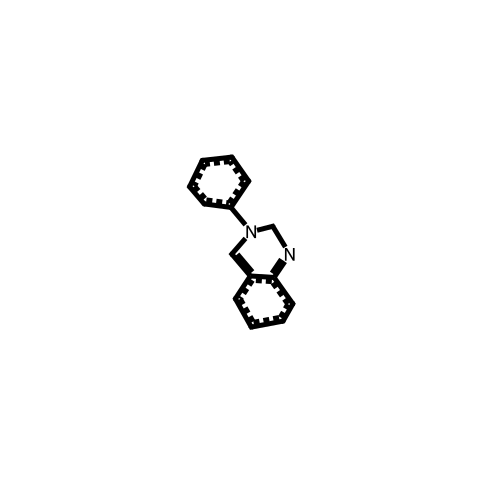 C1=c2ccccc2=NCN1c1ccccc1